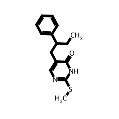 CCC(Cc1cnc(SC)[nH]c1=O)c1ccccc1